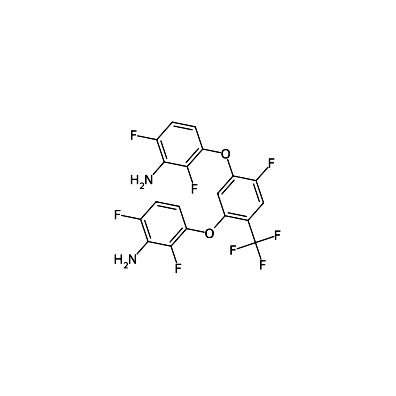 Nc1c(F)ccc(Oc2cc(Oc3ccc(F)c(N)c3F)c(C(F)(F)F)cc2F)c1F